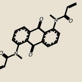 C=CC(=O)N(C)c1cccc2c1C(=O)c1cccc(N(C)C(=O)C=C)c1C2=O